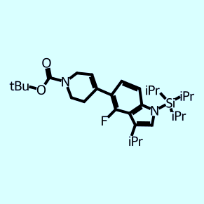 CC(C)c1cn([Si](C(C)C)(C(C)C)C(C)C)c2ccc(C3=CCN(C(=O)OC(C)(C)C)CC3)c(F)c12